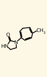 CC1=CCC=C(N2CCNC2=O)C=C1